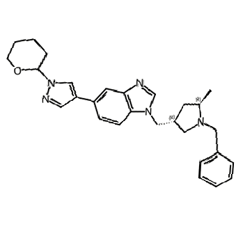 C[C@@H]1C[C@@H](Cn2cnc3cc(-c4cnn(C5CCCCO5)c4)ccc32)CN1Cc1ccccc1